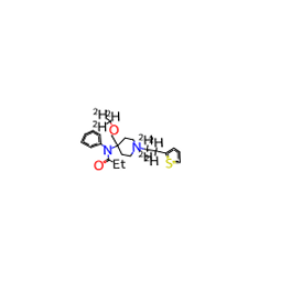 [2H]C([2H])([2H])OCC1(N(C(=O)CC)c2ccccc2)CCN(C([2H])([2H])C([2H])([2H])c2cccs2)CC1